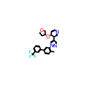 Cc1ccc(-c2cccc(C(F)(F)F)c2)cc1-n1cc(C2C=NC=CC2OC2CCOC2)cn1